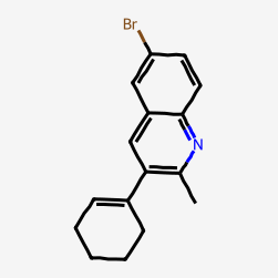 Cc1nc2ccc(Br)cc2cc1C1=CCCCC1